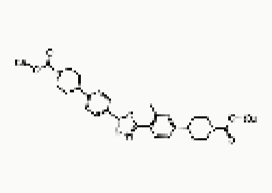 Cc1cc(C2CCN(C(=O)OC(C)(C)C)CC2)ccc1-c1nnc(-c2ccc(C3CCN(C(=O)OC(C)(C)C)CC3)cc2)o1